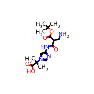 CC(C)(C)OC(=O)C(CN)C(=O)Nc1cn(C(C)(C)C(=O)O)cn1